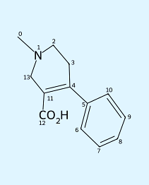 CN1CCC(c2ccccc2)=C(C(=O)O)C1